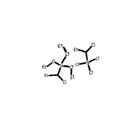 CCC(Cl)[Si](Cl)(Cl)Cl.CCO[Si](OCC)(OCC)C(Cl)CC